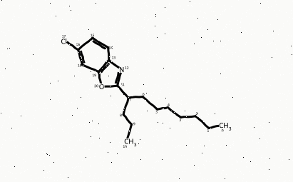 CCCCCCCC(CCC)c1nc2ccc(Cl)cc2o1